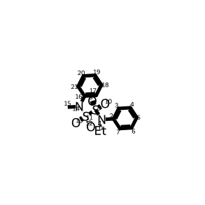 CCN(c1ccccc1)S(=O)(=O)S(=O)(=O)N(C)c1ccccc1